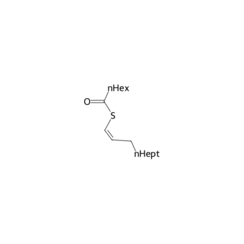 CCCCCCCC/C=C\SC(=O)CCCCCC